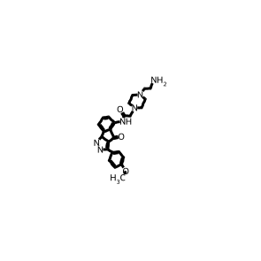 COc1ccc(C2=C3C(=O)c4c(NC(=O)CN5CCN(CCN)CC5)cccc4C3N=N2)cc1